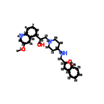 COc1cnc2cccc(C(O)CN3CCC(NCc4cc5ccccc5o4)CC3)c2c1